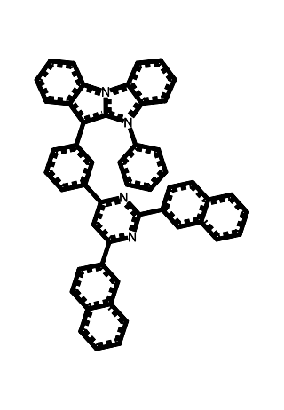 c1ccc(-n2c3ccccc3n3c4ccccc4c(-c4cccc(-c5cc(-c6ccc7ccccc7c6)nc(-c6ccc7ccccc7c6)n5)c4)c23)cc1